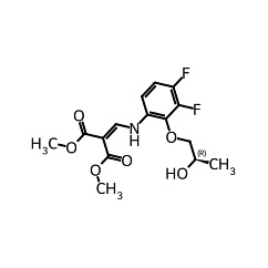 COC(=O)C(=CNc1ccc(F)c(F)c1OC[C@@H](C)O)C(=O)OC